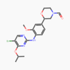 COc1cc(C2CN(C=O)CCO2)ccc1Nc1ncc(Br)c(OC(C)C)n1